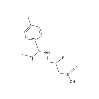 Cc1ccc(C(NCC(F)CS(=O)O)C(C)C)cc1